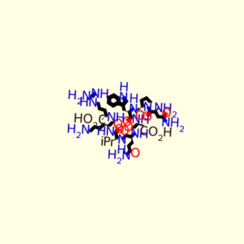 CC(C)[C@H](NC(=O)[C@H](CCC(N)=O)NC(=O)[C@H](CC(=O)O)NC(=O)[C@H](Cc1c[nH]c2ccccc12)NC(=O)[C@@H]1CCCN1C(=O)[C@@H](N)CC(N)=O)C(=O)N[C@@H](CCCCN)C(=O)N[C@@H](CCCNC(=N)N)C(=O)O